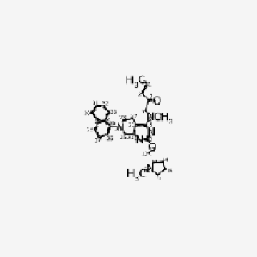 C/C=C/C(=O)CN(C)c1nc(OC[C@@H]2CCCN2C)nc2c1CCN(c1cccc3ccccc13)C2